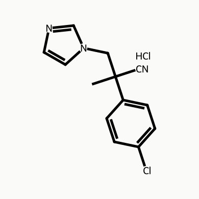 CC(C#N)(Cn1ccnc1)c1ccc(Cl)cc1.Cl